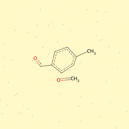 C=O.Cc1ccc(C=O)cc1